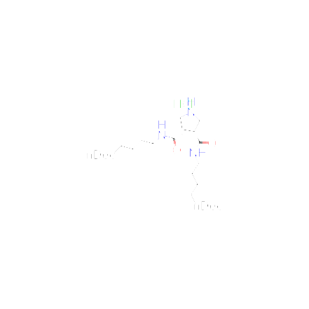 CCCCCCCCCCCCCCNC(=O)[C@@H]1CNC[C@H]1C(=O)NCCCCCCCCCCCCCC.Cl